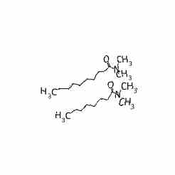 CCCCCCCC(=O)N(C)C.CCCCCCCCCC(=O)N(C)C